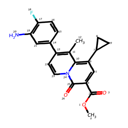 COC(=O)c1cc(C2CC2)c2c(C)c(-c3ccc(F)c(N)c3)ccn2c1=O